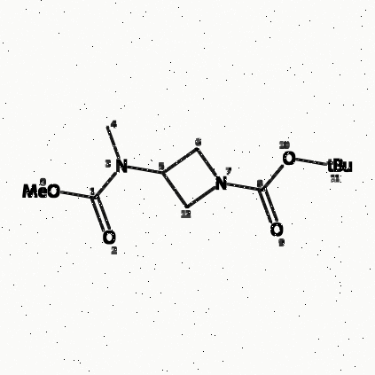 COC(=O)N(C)C1CN(C(=O)OC(C)(C)C)C1